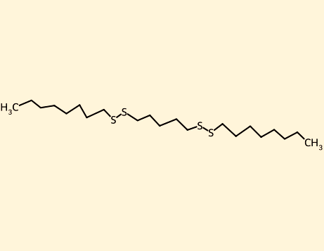 CCCCCCCCSSCCCCCSSCCCCCCCC